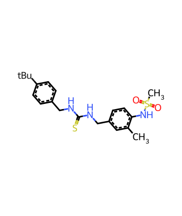 Cc1cc(CNC(=S)NCc2ccc(C(C)(C)C)cc2)ccc1NS(C)(=O)=O